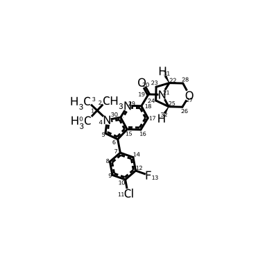 CC(C)(C)n1cc(-c2ccc(Cl)c(F)c2)c2ccc(C(=O)N3[C@@H]4CC[C@H]3COC4)nc21